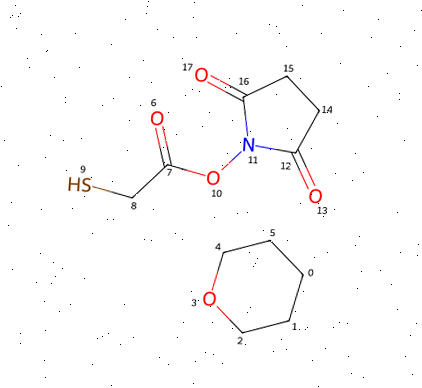 C1CCOCC1.O=C(CS)ON1C(=O)CCC1=O